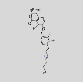 C=CCC/C=C/CCc1ccc(COc2ccc3cc(CCCCC)oc(=O)c3c2F)c(F)c1F